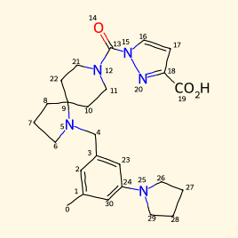 Cc1cc(CN2CCCC23CCN(C(=O)n2ccc(C(=O)O)n2)CC3)cc(N2CCCC2)c1